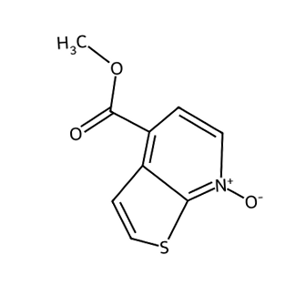 COC(=O)c1cc[n+]([O-])c2sccc12